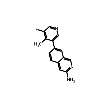 Cc1c(F)cncc1-c1ccc2cc(N)ncc2c1